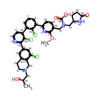 COc1nc(-c2cccc(-c3ccnc(-c4cc(Cl)c5c(c4)CCN(CC(C)O)C5)c3Cl)c2Cl)ccc1CN(CC1CCC(=O)N1)C(=O)O